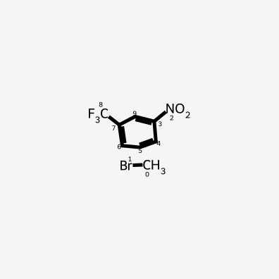 CBr.O=[N+]([O-])c1cccc(C(F)(F)F)c1